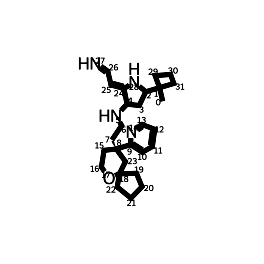 CC1(C2CC(NCC[C@@]3(c4ccccn4)CCOC4(CCCC4)C3)/C(=C/C=N)N2)CCC1